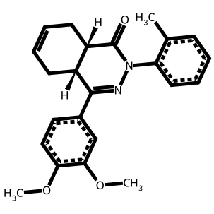 COc1ccc(C2=NN(c3ccccc3C)C(=O)[C@H]3CC=CC[C@@H]23)cc1OC